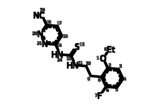 CCOc1cccc(F)c1CCNC(=S)Nc1ccc(C#N)nn1